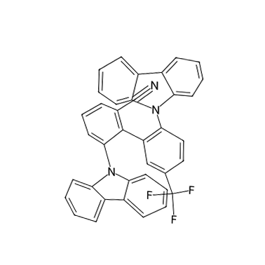 N#Cc1cccc(-n2c3ccccc3c3ccccc32)c1-c1cc(C(F)(F)F)ccc1-n1c2ccccc2c2ccccc21